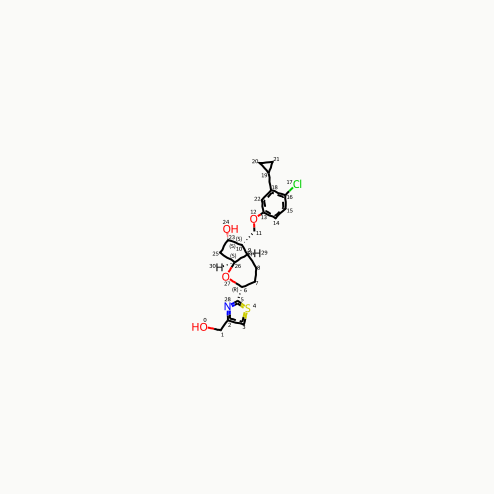 OCc1csc([C@H]2CC[C@@H]3[C@@H](COc4ccc(Cl)c(C5CC5)c4)[C@@H](O)C[C@@H]3O2)n1